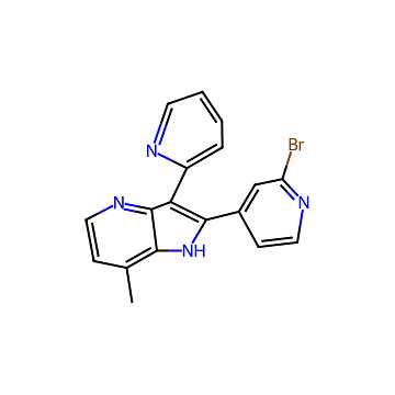 Cc1ccnc2c(-c3ccccn3)c(-c3ccnc(Br)c3)[nH]c12